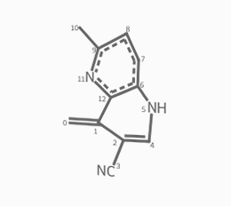 C=C1C(C#N)=CNc2ccc(C)nc21